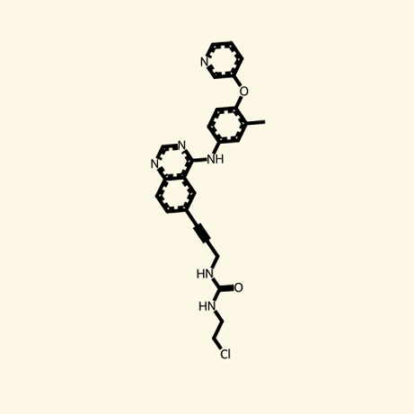 Cc1cc(Nc2ncnc3ccc(C#CCNC(=O)NCCCl)cc23)ccc1Oc1cccnc1